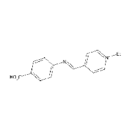 CC[n+]1ccc(C=Nc2ccc(C(=O)O)cc2)cc1